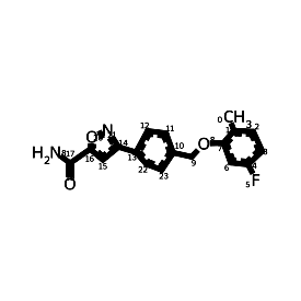 Cc1ccc(F)cc1OCc1ccc(-c2cc(C(N)=O)on2)cc1